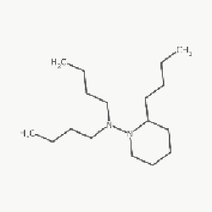 CCCCC1CCCCN1N(CCCC)CCCC